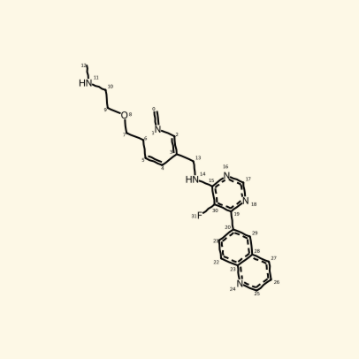 C=N/C=C(\C=C/CCOCCNC)CNc1ncnc(-c2ccc3ncccc3c2)c1F